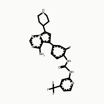 Nc1ncnn2c(C3CCNCC3)cc(-c3ccc(NC(=O)Nc4cc(C(F)(F)F)ccn4)c(F)c3)c12